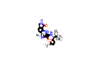 C/N=c1\c(Nc2c(C)ccc3c2C(=O)NC3)c(N[C@@H](c2ccc(C)o2)C(C)(C)C)c1=O